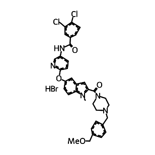 Br.COCc1ccc(CN2CCN(C(=O)c3cc4cc(Oc5ccc(NC(=O)c6ccc(Cl)c(Cl)c6)cn5)ccc4n3C)CC2)cc1